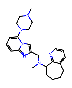 CN1CCN(c2cccc3nc(CN(C)C4CCCCc5cccnc54)cn23)CC1